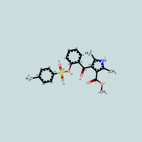 COC(=O)c1c(C)[nH]c(C)c1C(=O)c1ccccc1OS(=O)(=O)c1ccc(C)cc1